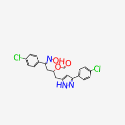 O=COC(CC(=NO)c1ccc(Cl)cc1)Cc1cc(-c2ccc(Cl)cc2)n[nH]1